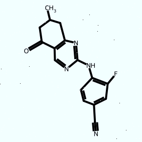 CC1CC(=O)c2cnc(Nc3ccc(C#N)cc3F)nc2C1